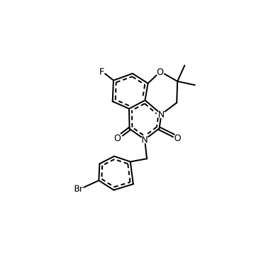 CC1(C)Cn2c(=O)n(Cc3ccc(Br)cc3)c(=O)c3cc(F)cc(c32)O1